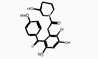 CCc1c(O)cc(O)c(C(=O)c2ccc(OC)cc2)c1CC(=O)N1CCCC(O)C1